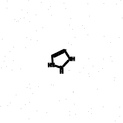 [C]1=CNNN1